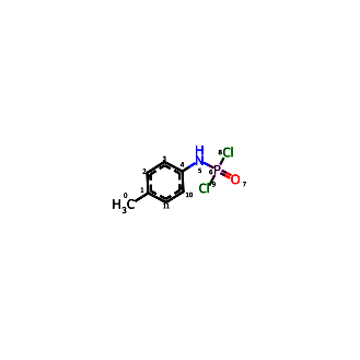 Cc1ccc(NP(=O)(Cl)Cl)cc1